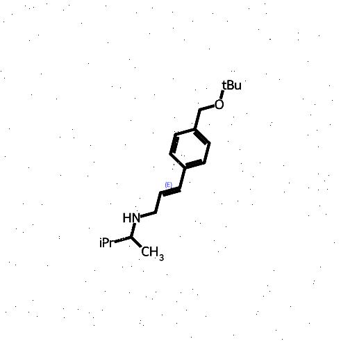 CC(C)C(C)NC/C=C/c1ccc(COC(C)(C)C)cc1